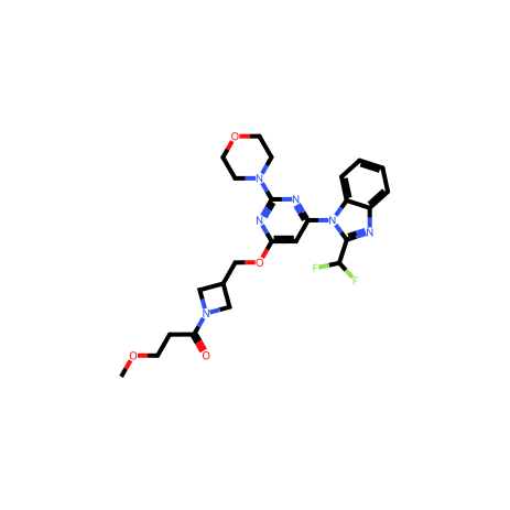 COCCC(=O)N1CC(COc2cc(-n3c(C(F)F)nc4ccccc43)nc(N3CCOCC3)n2)C1